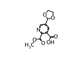 COC(=O)c1ncc(C2OCCO2)cc1C(=O)O